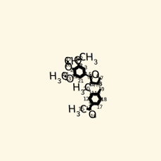 COc1cc([C@H]2OC[C@H](Cc3ccc(C(C)=O)cc3)[C@@H]2C)cc(OC)c1OC